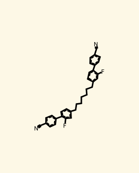 N#Cc1ccc(-c2ccc(CCCCCCCc3ccc(-c4ccc(C#N)cc4)c(F)c3)cc2F)cc1